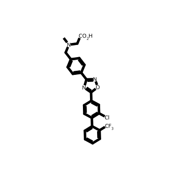 CN(CC(=O)O)Cc1ccc(-c2noc(-c3ccc(-c4ccccc4C(F)(F)F)c(Cl)c3)n2)cc1